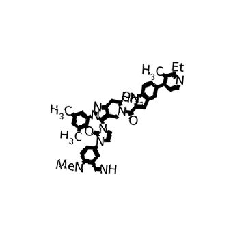 CCc1nccc(-c2ccc3[nH]c(C(=O)N4Cc5c(nn(-c6cc(C)cc(C)c6)c5-n5ccn(-c6ccc(NC)c(C=N)c6)c5=O)C[C@@H]4C)cc3c2)c1C